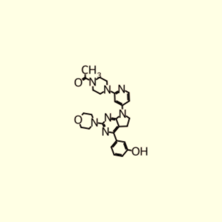 CC(=O)N1CCN(c2cc(N3CCc4c(-c5cccc(O)c5)nc(N5CCOCC5)nc43)ccn2)CC1